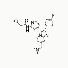 CN(C)Cc1ccn2c(-c3ccnc(NC(=O)CC4CC4)n3)c(-c3ccc(F)cc3)nc2c1